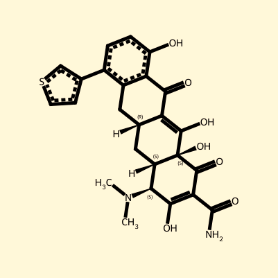 CN(C)[C@@H]1C(O)=C(C(N)=O)C(=O)[C@@]2(O)C(O)=C3C(=O)c4c(O)ccc(-c5ccsc5)c4C[C@H]3C[C@@H]12